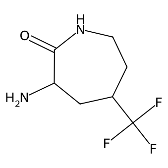 NC1CC(C(F)(F)F)CCNC1=O